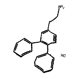 Cl.NCCc1ccc(-c2ccccc2)c(-c2ccccc2)c1